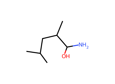 CC(C)CC(C)C(N)O